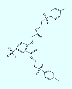 Cc1ccc(S(=O)(=O)CCOC(=O)COc2ccc(S(=O)(=O)Cl)cc2C(=O)OCCS(=O)(=O)c2ccc(C)cc2)cc1